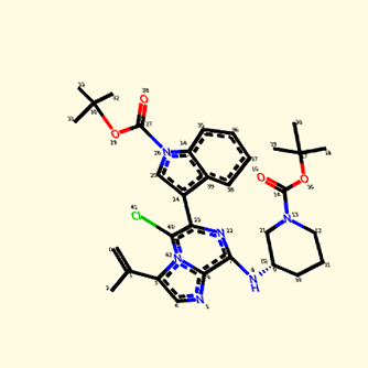 C=C(C)c1cnc2c(N[C@H]3CCCN(C(=O)OC(C)(C)C)C3)nc(-c3cn(C(=O)OC(C)(C)C)c4ccccc34)c(Cl)n12